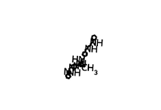 Cc1cc(N2CCN(Cc3nc4ccccc4[nH]3)CC2)nc(NCc2ccc(CNCCCNC3CCCCC3)cc2)n1